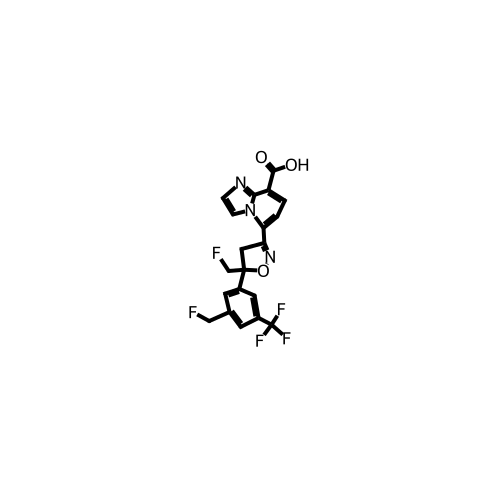 O=C(O)c1ccc(C2=NOC(CF)(c3cc(CF)cc(C(F)(F)F)c3)C2)n2ccnc12